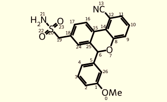 COc1cccc(C2Oc3cccc(C#N)c3-c3ccc(CS(N)(=O)=O)cc32)c1